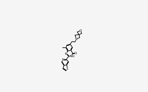 Cc1cc(CCN2CC3(COC3)C2)cc2c(=O)[nH]c(-c3cc4sccc4cn3)nc12